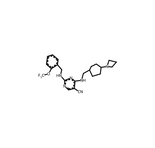 N#Cc1cnc(NCc2ccccc2OC(F)(F)F)nc1NCC1CCC(N2CCC2)CC1